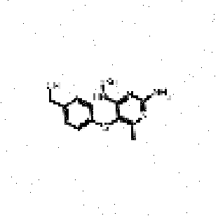 CCCCNc1nc(N)nc(C)c1Sc1ccc(CC#N)cc1